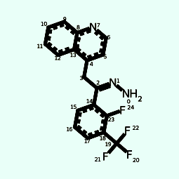 NN=C(Cc1ccnc2ccccc12)c1cccc(C(F)(F)F)c1F